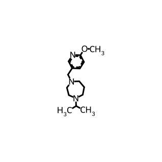 COc1ccc(CN2CCCN(C(C)C)CC2)cn1